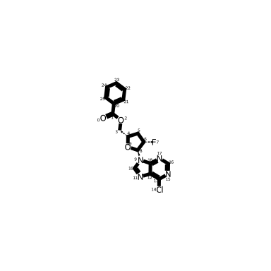 O=C(OC[C@@H]1C[C@H](F)[C@H](n2cnc3c(Cl)ncnc32)O1)c1ccccc1